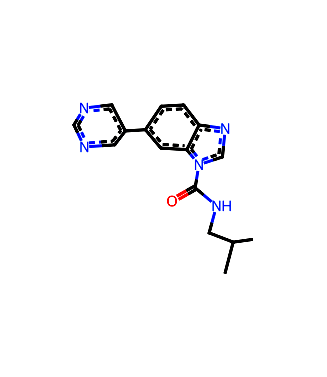 CC(C)CNC(=O)n1cnc2ccc(-c3cncnc3)cc21